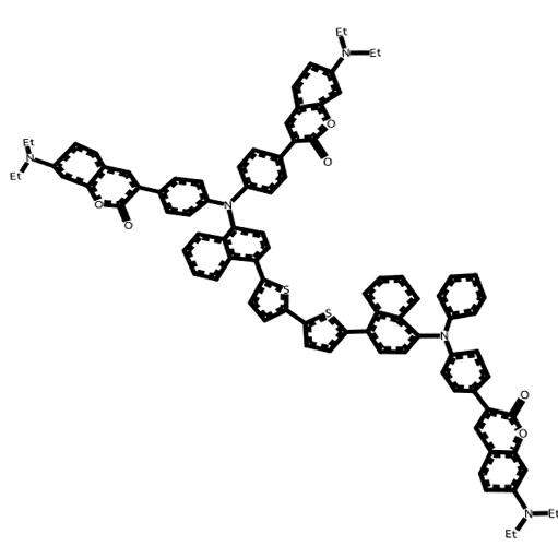 CCN(CC)c1ccc2cc(-c3ccc(N(c4ccccc4)c4ccc(-c5ccc(-c6ccc(-c7ccc(N(c8ccc(-c9cc%10ccc(N(CC)CC)cc%10oc9=O)cc8)c8ccc(-c9cc%10ccc(N(CC)CC)cc%10oc9=O)cc8)c8ccccc78)s6)s5)c5ccccc45)cc3)c(=O)oc2c1